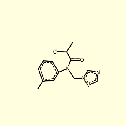 Cc1cccc(N(Cn2cncn2)C(=O)C(C)Cl)c1